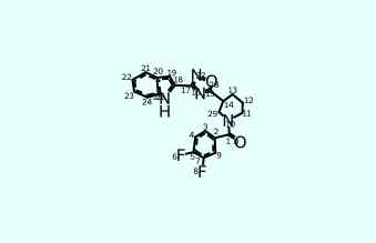 O=C(c1ccc(F)c(F)c1)N1CCCC(c2nc(-c3cc4ccccc4[nH]3)no2)C1